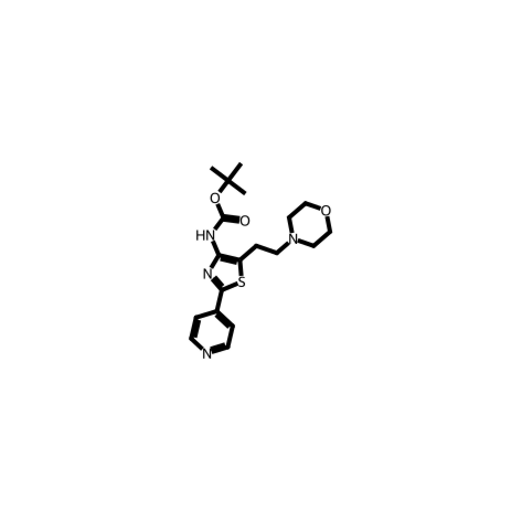 CC(C)(C)OC(=O)Nc1nc(-c2ccncc2)sc1CCN1CCOCC1